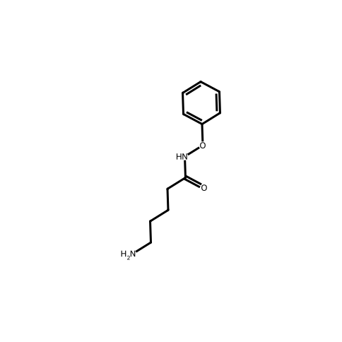 NCCCCC(=O)NOc1ccccc1